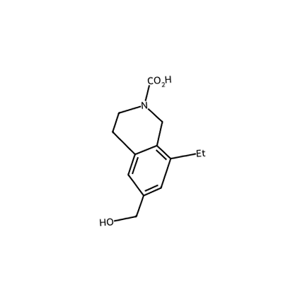 CCc1cc(CO)cc2c1CN(C(=O)O)CC2